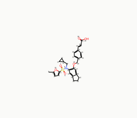 Cc1ccc(S(=O)(=O)N(CC2CC2)c2cc3c(cc2OCc2ccc(/C=C/C(=O)O)cc2)CCC3)o1